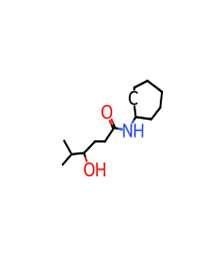 CC(C)C(O)CCC(=O)NC1CCCCCC1